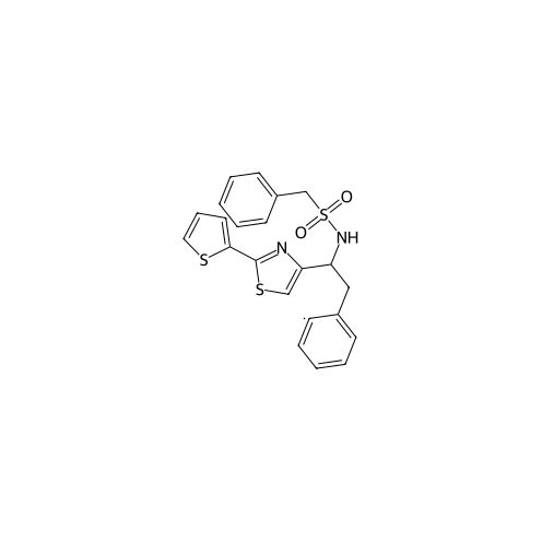 O=S(=O)(Cc1ccccc1)NC(Cc1[c]cccc1)c1csc(-c2cccs2)n1